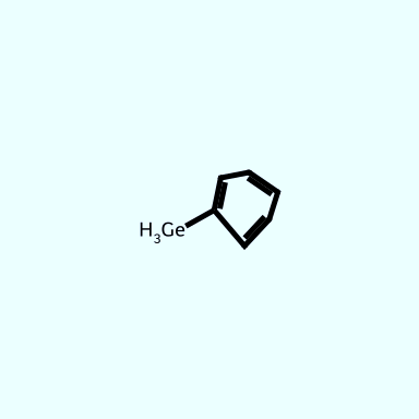 [GeH3][c]1ccccc1